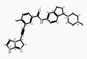 Cc1ccc(C(=O)Nc2ccc3c(c2)CCC3N2CCN(C)CC2)cc1C#CC1CN=C2NC=CN21